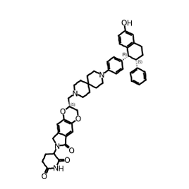 O=C1CCC(N2Cc3cc4c(cc3C2=O)OC[C@H](CN2CCC3(CC2)CCN(c2ccc([C@@H]5c6ccc(O)cc6CC[C@@H]5c5ccccc5)cc2)CC3)O4)C(=O)N1